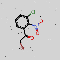 O=C(CBr)c1cccc(Cl)c1[N+](=O)[O-]